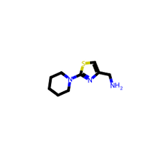 NCc1csc(N2CCCCC2)n1